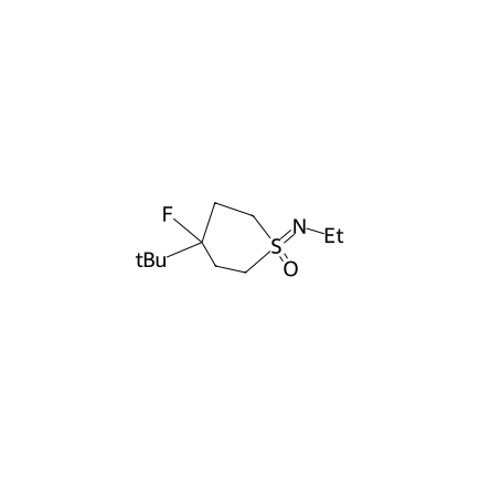 CCN=S1(=O)CCC(F)(C(C)(C)C)CC1